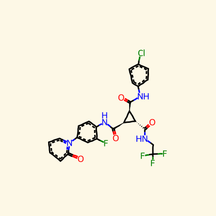 O=C(NCC(F)(F)F)[C@H]1[C@H](C(=O)Nc2ccc(Cl)cc2)[C@@H]1C(=O)Nc1ccc(-n2ccccc2=O)cc1F